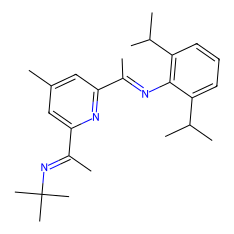 C/C(=N\c1c(C(C)C)cccc1C(C)C)c1cc(C)cc(/C(C)=N/C(C)(C)C)n1